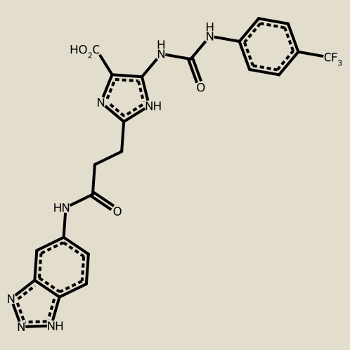 O=C(CCc1nc(C(=O)O)c(NC(=O)Nc2ccc(C(F)(F)F)cc2)[nH]1)Nc1ccc2[nH]nnc2c1